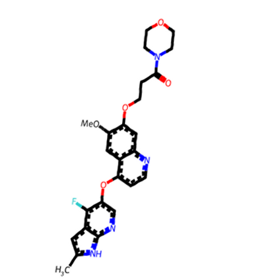 COc1cc2c(Oc3cnc4[nH]c(C)cc4c3F)ccnc2cc1OCCC(=O)N1CCOCC1